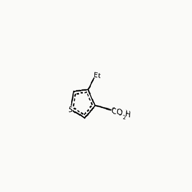 [CH2]Cc1cscc1C(=O)O